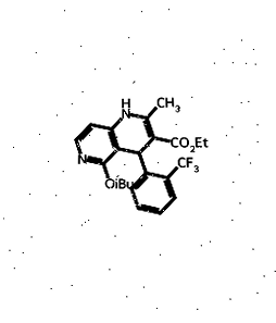 CCOC(=O)C1=C(C)Nc2ccnc(OCC(C)C)c2C1c1ccccc1C(F)(F)F